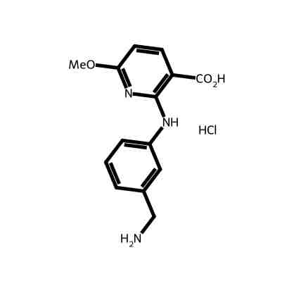 COc1ccc(C(=O)O)c(Nc2cccc(CN)c2)n1.Cl